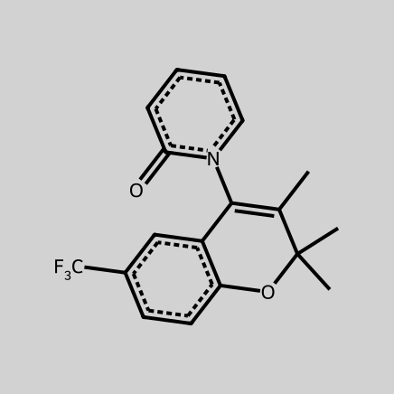 CC1=C(n2ccccc2=O)c2cc(C(F)(F)F)ccc2OC1(C)C